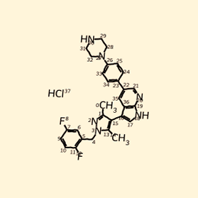 Cc1nn(Cc2cc(F)ccc2F)c(C)c1-c1c[nH]c2ncc(-c3ccc(N4CCNCC4)cc3)cc12.Cl